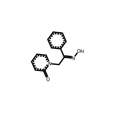 O=c1ccccn1C/C(=N/O)c1ccccc1